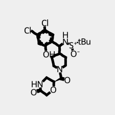 CC(C)(C)[S@+]([O-])NC(c1cc(Cl)c(Cl)cc1O)C1CCN(C(=O)[C@@H]2CNC(=O)CO2)CC1